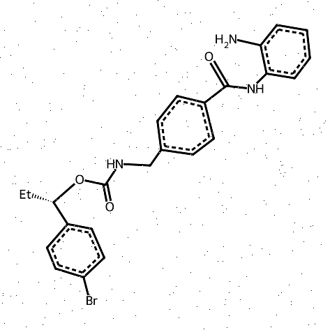 CC[C@H](OC(=O)NCc1ccc(C(=O)Nc2ccccc2N)cc1)c1ccc(Br)cc1